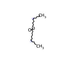 CCCC/C=C\CCCCCC(=O)OCCCC/C=C\CCCC